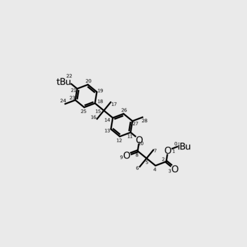 CCC(C)OC(=O)CC(C)(C)C(=O)Oc1ccc(C(C)(C)c2ccc(C(C)(C)C)c(C)c2)cc1C